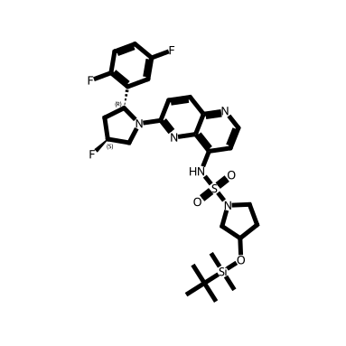 CC(C)(C)[Si](C)(C)OC1CCN(S(=O)(=O)Nc2ccnc3ccc(N4C[C@@H](F)C[C@@H]4c4cc(F)ccc4F)nc23)C1